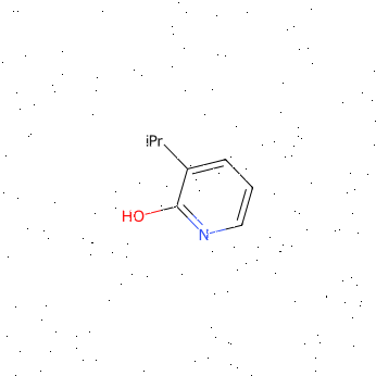 CC(C)c1cccnc1O